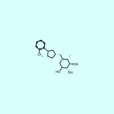 C[C@@H]1[C@@H](O)[C@H](O)[C@@H](O)CN1C[C@@H]1CCN(c2ccccc2C(F)(F)F)C1